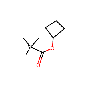 C[Si](C)(C)C(=O)OC1CCC1